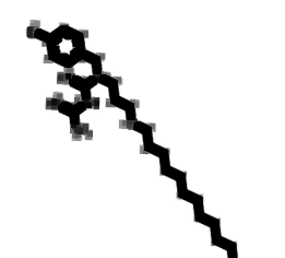 CCCCCCCCCCCCOCCCN(Cc1ccc(Cl)cc1)C(=N)NC(=N)N